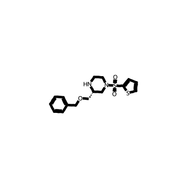 O=S(=O)(c1cccs1)N1CCN[C@@H](COCc2ccccc2)C1